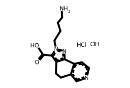 Cl.Cl.NCCCCn1nc2c(c1C(=O)O)CCc1cnccc1-2